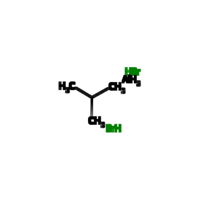 Br.Br.CC(C)C.[AlH3]